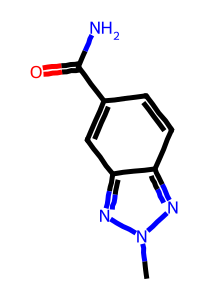 Cn1nc2ccc(C(N)=O)cc2n1